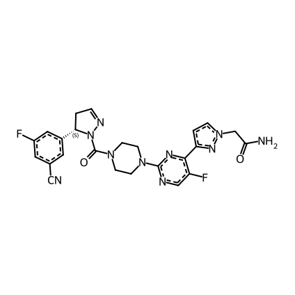 N#Cc1cc(F)cc([C@@H]2CC=NN2C(=O)N2CCN(c3ncc(F)c(-c4ccn(CC(N)=O)n4)n3)CC2)c1